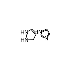 C1=CNNC1.c1c[nH]cn1